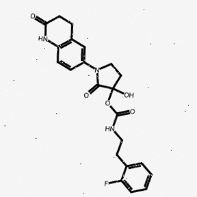 O=C1CCc2cc(N3CCC(O)(OC(=O)NCCc4ccccc4F)C3=O)ccc2N1